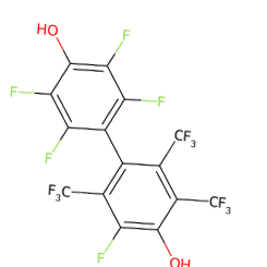 Oc1c(F)c(F)c(-c2c(C(F)(F)F)c(F)c(O)c(C(F)(F)F)c2C(F)(F)F)c(F)c1F